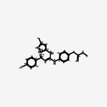 COC(=O)Cc1ccc(N/C(=N/C(=O)c2ccc(F)cc2)Nc2cc(C)n[nH]2)cc1